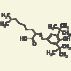 CC(C)CCCCCC(SCc1cc(C(C)(C)C)c(O)c(C(C)(C)C)c1)C(=O)O